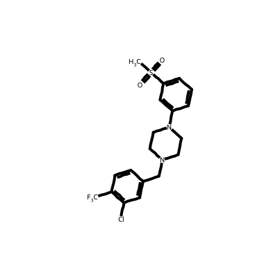 CS(=O)(=O)c1cccc(N2CCN(Cc3ccc(C(F)(F)F)c(Cl)c3)CC2)c1